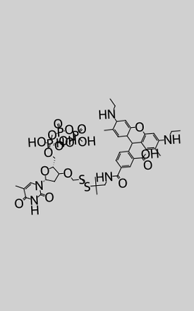 CCNc1cc2c(cc1C)C(c1ccc(C(=O)NCC(C)(C)SSCOC3C[C@H](n4cc(C)c(=O)[nH]c4=O)O[C@@H]3COP(=O)(O)OP(=O)(O)OP(=O)(O)O)cc1C(=O)O)C1C=C(C)C(NCC)C=C1O2